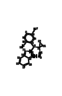 C#CC1(C(c2cc(F)ccc2F)N2C=C3C=CC=CC3N2)CC1